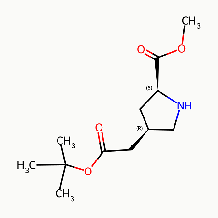 COC(=O)[C@@H]1C[C@H](CC(=O)OC(C)(C)C)CN1